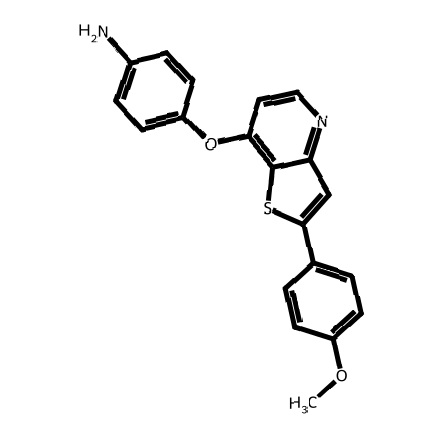 COc1ccc(-c2cc3nccc(Oc4ccc(N)cc4)c3s2)cc1